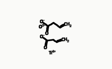 C=CCC(=O)[O-].C=CCC(=O)[O-].[O-2].[Ti+4]